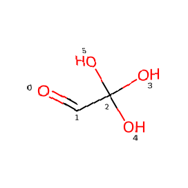 O=CC(O)(O)O